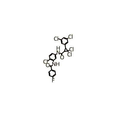 O=C(Nc1cc(NC(=O)C2C(c3cc(Cl)cc(Cl)c3)C2(Cl)Cl)ccc1Cl)c1ccc(F)cc1